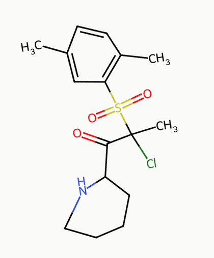 Cc1ccc(C)c(S(=O)(=O)C(C)(Cl)C(=O)C2CCCCN2)c1